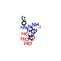 CCc1ccc(Nc2nc(N)c3ncn([C@@H]4O[C@H](CO)[C@@H](O)[C@H]4O)c3n2)cc1